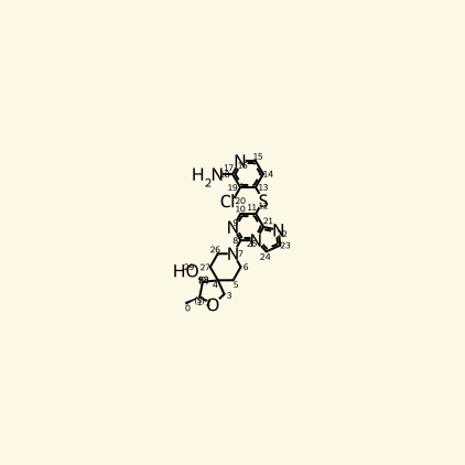 C[C@@H]1OCC2(CCN(c3ncc(Sc4ccnc(N)c4Cl)c4nccn34)CC2)[C@@H]1O